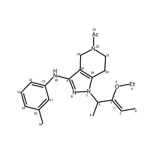 C/C=C(\OCC)C(C)n1nc(Nc2cccc(C)c2)c2c1CCN(C(C)=O)C2